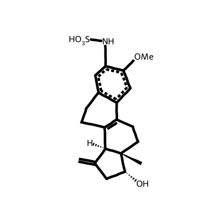 C=C1C[C@@H](O)[C@@]2(C)CCC3=C(CCc4cc(NS(=O)(=O)O)c(OC)cc43)[C@H]12